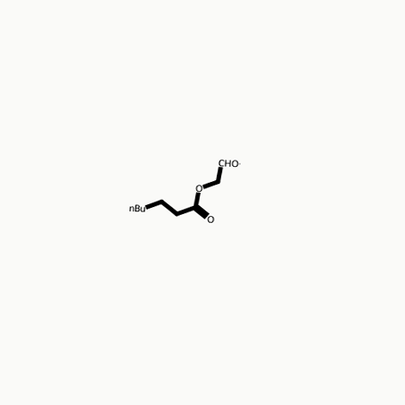 CCCCCCC(=O)OC[C]=O